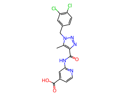 Cc1c(C(=O)Nc2cc(C(=O)O)ccn2)nnn1Cc1ccc(Cl)c(Cl)c1